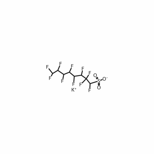 O=S(=O)([O-])C(F)C(F)(F)C(F)C(F)C(F)C(F)C(F)C(F)F.[K+]